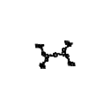 CC[N+](C)(C)CCCCOc1cc(/C=C/c2ccc(/C=C/c3cc(OCCCC[N+](C)(C)CC)cc(OCCCC[N+](C)(C)CC)c3)cc2)cc(OCCCC[N+](C)(C)CC)c1